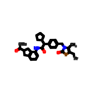 COC(=O)C1Cc2cccc(NC(=O)C(c3ccc(Cn4c(C)c(CC(C)C)sc4=O)cc3)C3CCCC3)c2C1